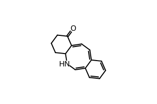 O=C1CCCC2NC=c3ccccc3=CC=C12